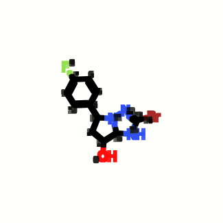 OC1CC(c2ccc(F)cc2)N2N=C(Br)NC12